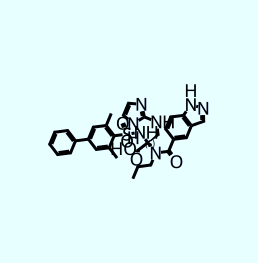 CCCN(C(=O)c1ccc2[nH]ncc2c1)[C@@](CNc1ncc[nH]1)(NS(=O)(=O)c1c(C)cc(-c2ccccc2)cc1C)C(=O)O